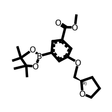 COC(=O)c1cc(OC[C@H]2CCCO2)cc(B2OC(C)(C)C(C)(C)O2)c1